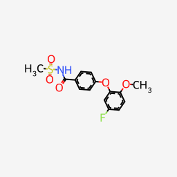 COc1ccc(F)cc1Oc1ccc(C(=O)NS(C)(=O)=O)cc1